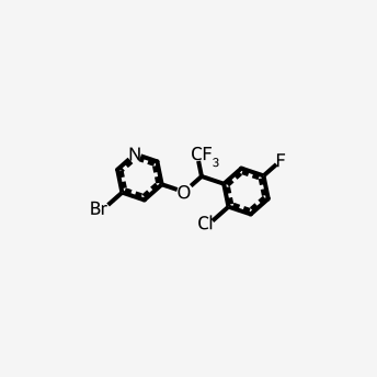 Fc1ccc(Cl)c(C(Oc2cncc(Br)c2)C(F)(F)F)c1